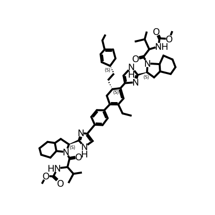 CCC1=CC[C@H](CC[C@H]2CC(c3ccc(-c4c[nH]c([C@@H]5CC6CCCCC6N5C(=O)C(NC(=O)OC)C(C)C)n4)cc3)=C(CC)C=C2c2c[nH]c([C@@H]3CC4CCCCC4N3C(=O)C(NC(=O)OC)C(C)C)n2)C=C1